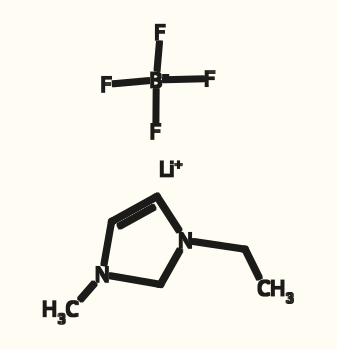 CCN1C=CN(C)C1.F[B-](F)(F)F.[Li+]